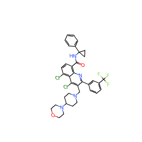 O=C(NC1(c2ccccc2)CC1)c1ccc(Cl)c2c(Cl)c(CN3CCC(N4CCOCC4)CC3)c(-c3cccc(C(F)(F)F)c3)nc12